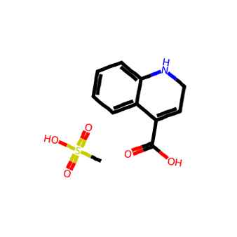 CS(=O)(=O)O.O=C(O)C1=CCNc2ccccc21